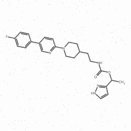 CC(OC(=O)NCCC1CCN(c2ccc(-c3ccc(F)cc3)cn2)CC1)c1cc[nH]n1